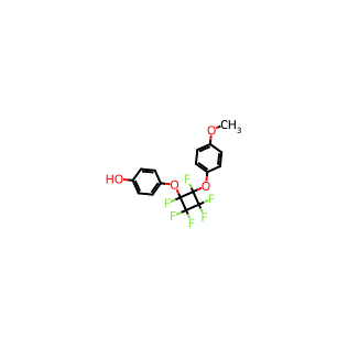 COc1ccc(OC2(F)C(F)(F)C(F)(F)C2(F)Oc2ccc(O)cc2)cc1